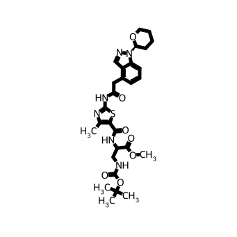 COC(=O)C(CNC(=O)OC(C)(C)C)NC(=O)c1sc(NC(=O)Cc2cccc3c2cnn3[C@@H]2CCCCO2)nc1C